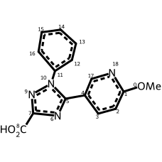 COc1ccc(-c2nc(C(=O)O)nn2-c2ccccc2)cn1